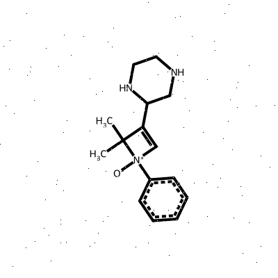 CC1(C)C(C2CNCCN2)=C[N+]1([O-])c1ccccc1